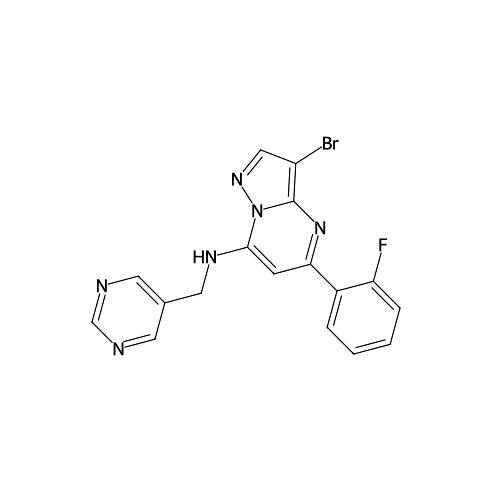 Fc1ccccc1-c1cc(NCc2cncnc2)n2ncc(Br)c2n1